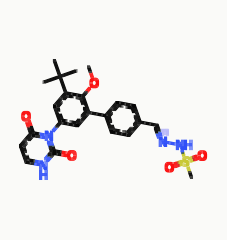 COc1c(-c2ccc(/C=N/NS(C)(=O)=O)cc2)cc(-n2c(=O)cc[nH]c2=O)cc1C(C)(C)C